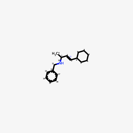 CC(/C=C/C1CCCCC1)NCc1ccccc1